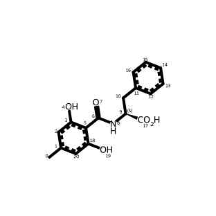 Cc1cc(O)c(C(=O)N[C@@H](Cc2ccccc2)C(=O)O)c(O)c1